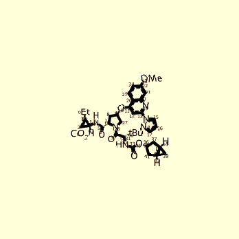 CC[C@@H]1C[C@]1(NC(=O)[C@@H]1C[C@@H](Oc2cc(-n3cccn3)nc3cc(OC)ccc23)CN1C(=O)[C@@H](NC(=O)O[C@@H]1C[C@@H]2C[C@@H]2C1)C(C)(C)C)C(=O)O